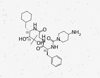 CC(C)(O)[C@@H](O)[C@H](CC1CCCCC1)NC(=O)CNC(=O)[C@H](Cc1ccccc1)NC(=O)N1CCC(N)CC1